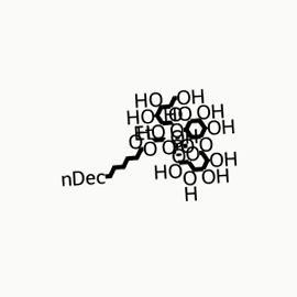 CCCCCCCCCCCCCCCC(=O)O[C@H](CC)COP(=O)(O)O[C@@H]1C(O[C@H]2OC(CO)[C@@H](O)[C@H](O)C2O)C(O)[C@@H](O)[C@H](O)C1O[C@H]1OC(CO)[C@@H](O)C(O)[C@H]1O